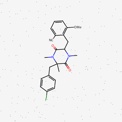 COc1cccc(C#N)c1CC1C(=O)N(C)C(C)(Cc2ccc(F)cc2)C(=O)N1C